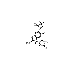 CC1(C)CN(c2ccc(C(C)(C(N)=O)C3CNC(=O)O3)cc2F)C1=O